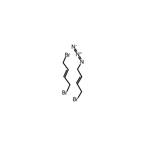 BrC/C=C/CBr.[N-]=[N+]=NC/C=C/CBr